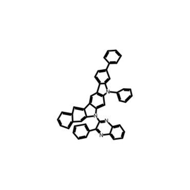 c1ccc(-c2ccc3c4cc5c6cc7ccccc7cc6n(-c6nc7ccccc7nc6-c6ccccc6)c5cc4n(-c4ccccc4)c3c2)cc1